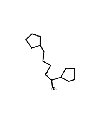 [CH2]CCCC(CCCCC1CCCC1)C1CCCC1